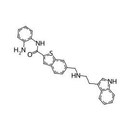 Nc1ccccc1NC(=O)c1cc2ccc(CNCCc3c[nH]c4ccccc34)cc2s1